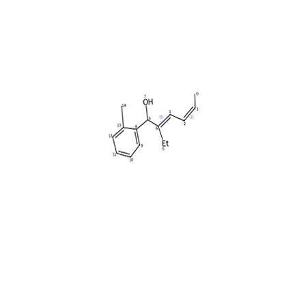 C/C=C\C=C(/CC)C(O)c1ccccc1C